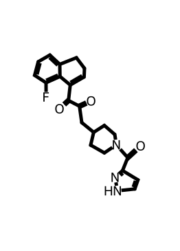 O=C(CC1CCN(C(=O)c2cc[nH]n2)CC1)C(=O)C1=CCCc2cccc(F)c21